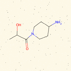 CC(O)C(=O)N1CCC(N)CC1